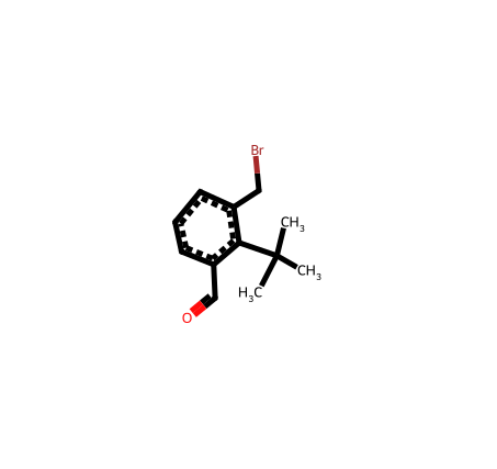 CC(C)(C)c1c(C=O)cccc1CBr